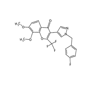 COc1ccc2c(=O)c(-c3cnn(Cc4ccc(F)cc4)c3)c(C(F)(F)F)oc2c1OC